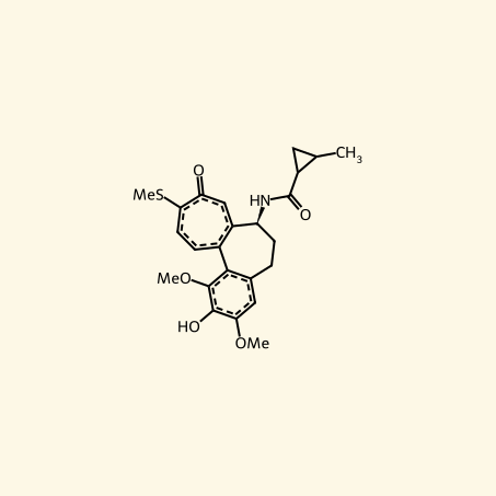 COc1cc2c(c(OC)c1O)-c1ccc(SC)c(=O)cc1[C@@H](NC(=O)C1CC1C)CC2